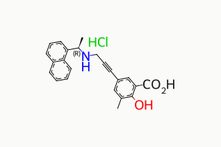 Cc1cc(C#CCN[C@H](C)c2cccc3ccccc23)cc(C(=O)O)c1O.Cl